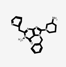 Cn1c(Cc2ccccn2)nc2nc(N3CCCC(N)C3)n(Cc3ccccc3)c2c1=O